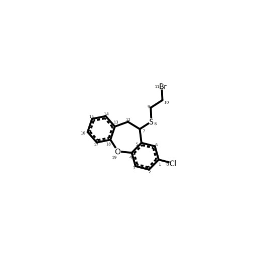 Clc1ccc2c(c1)C(SCCBr)Cc1ccccc1O2